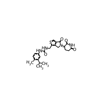 Cc1ccc(NC(=O)NCc2scc3c2CN([C@@H]2CCC(=O)NC2=O)C3=O)cc1C(C)C